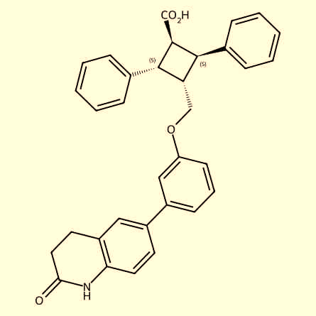 O=C1CCc2cc(-c3cccc(OC[C@H]4[C@H](c5ccccc5)[C@H](C(=O)O)[C@H]4c4ccccc4)c3)ccc2N1